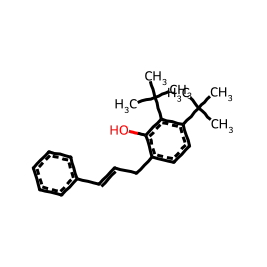 CC(C)(C)c1ccc(CC=Cc2ccccc2)c(O)c1C(C)(C)C